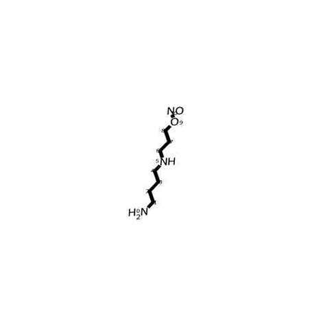 NCCCCNCCCON=O